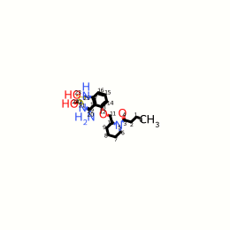 CCCC(=O)N1CCCCC1COc1cccc2c1C(N)=NS(O)(O)N2